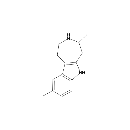 Cc1ccc2[nH]c3c(c2c1)CCNC(C)C3